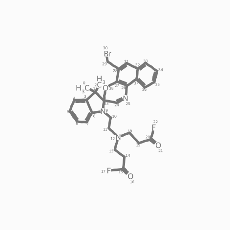 CC1(C)c2ccccc2N(CCN(CCC(=O)F)CCC(=O)F)C12C=Nc1c(c(CBr)cc3ccccc13)O2